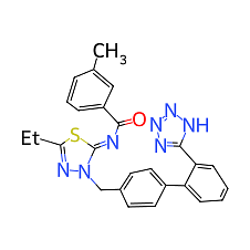 CCc1nn(Cc2ccc(-c3ccccc3-c3nnn[nH]3)cc2)c(=NC(=O)c2cccc(C)c2)s1